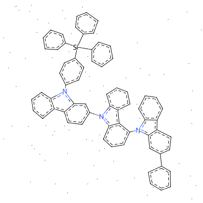 c1ccc(-c2ccc3c4ccccc4n(-c4cccc5c4c4ccccc4n5-c4ccc5c6ccccc6n(-c6ccc([Si](c7ccccc7)(c7ccccc7)c7ccccc7)cc6)c5c4)c3c2)cc1